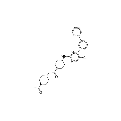 CC(=O)N1CCC(CC(=O)N2CCC(Nc3ncc(Cl)c(-c4cccc(-c5ccccc5)c4)n3)CC2)CC1